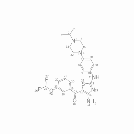 CC(C)N1CCN(c2ccc(Nc3nc(N)c(C(=O)c4cccc(OC(F)F)c4)s3)cc2)CC1